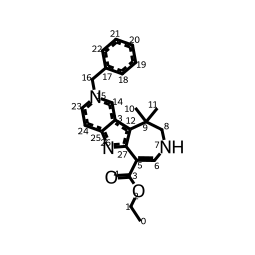 CCOC(=O)C1=CNCC(C)(C)c2c3cn(Cc4ccccc4)ccc-3nc21